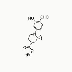 CC(C)(C)OC(=O)N1CCN(c2ccc(C=O)c(O)c2)C2(CC2)C1